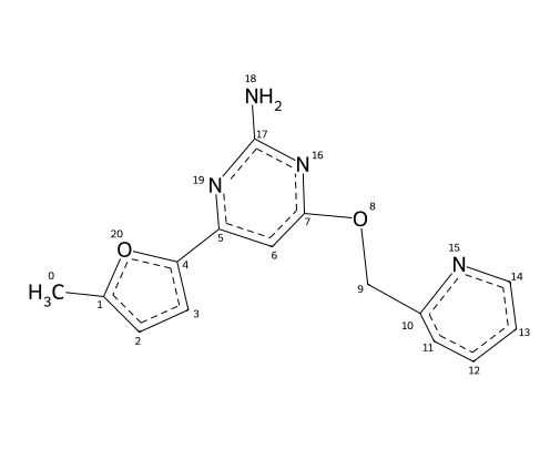 Cc1ccc(-c2cc(OCc3ccccn3)nc(N)n2)o1